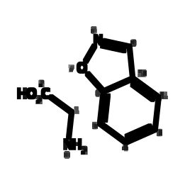 NCC(=O)O.c1ccc2oncc2c1